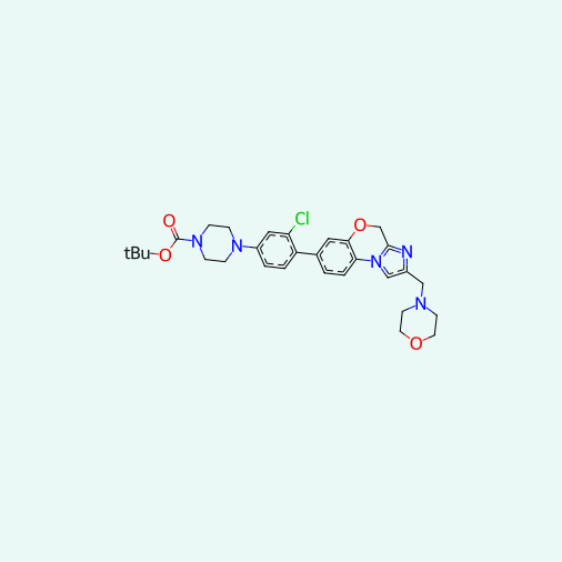 CC(C)(C)OC(=O)N1CCN(c2ccc(-c3ccc4c(c3)OCc3nc(CN5CCOCC5)cn3-4)c(Cl)c2)CC1